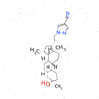 C[C@@H]1C[C@H](CCn2cc(C#N)cn2)[C@@]2(C)CC[C@H]3[C@@H](CC[C@@H]4C[C@](C)(O)CC[C@@H]43)[C@H]12